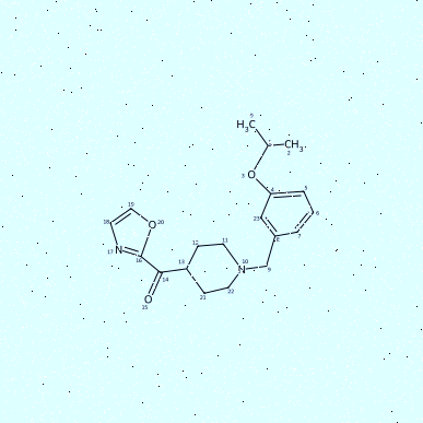 CC(C)Oc1cccc(CN2CCC(C(=O)c3ncco3)CC2)c1